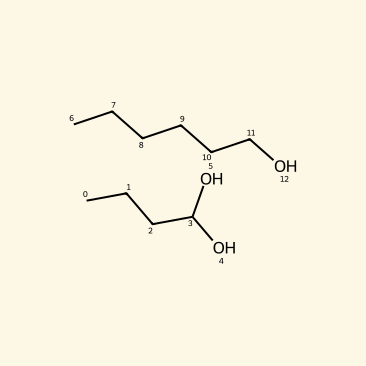 CCCC(O)O.CCCCCCO